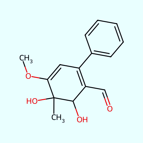 COC1=CC(c2ccccc2)=C(C=O)C(O)C1(C)O